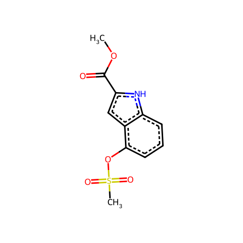 COC(=O)c1cc2c(OS(C)(=O)=O)cccc2[nH]1